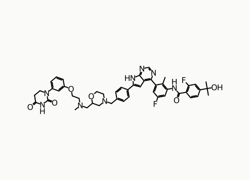 Cc1c(NC(=O)c2ccc(C(C)(C)O)cc2F)cc(F)cc1-c1ncnc2[nH]c(-c3ccc(CN4CCOC(CN(C)CCOc5cccc(N6CCC(=O)NC6=O)c5)C4)cc3)cc12